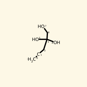 [CH2]CCC(O)(O)CO